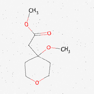 COC(=O)CC1(OC)CCOCC1